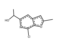 Cc1cc2cc(C(C)O)nc(Cl)c2o1